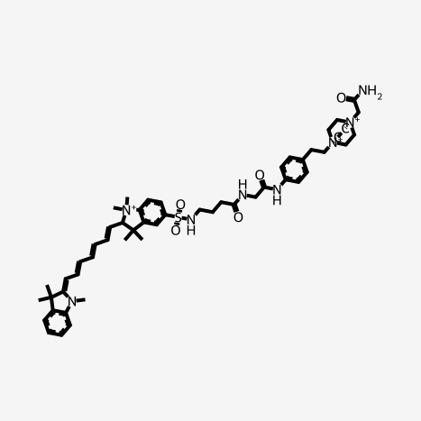 CN1C(=CC=C/C=C/C=C/C2C(C)(C)c3cc(S(=O)(=O)NCCCC(=O)NCC(=O)Nc4ccc(CC[N+]56CC[N+](CC(N)=O)(CC5)CC6)cc4)ccc3[N+]2(C)C)C(C)(C)c2ccccc21